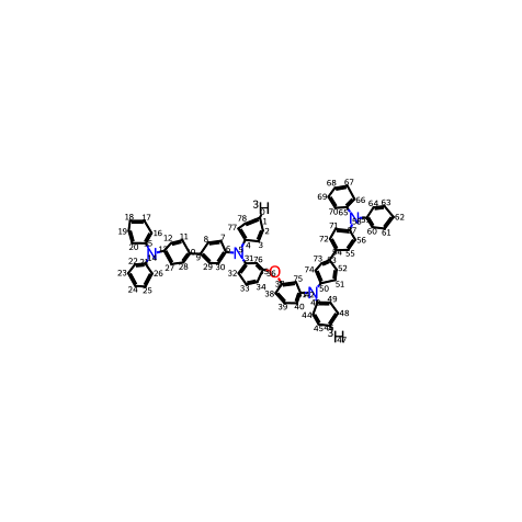 [3H]c1ccc(N(c2ccc(-c3ccc(N(c4ccccc4)c4ccccc4)cc3)cc2)c2cccc(Oc3cccc(N(c4ccc([3H])cc4)c4ccc(-c5ccc(N(c6ccccc6)c6ccccc6)cc5)cc4)c3)c2)cc1